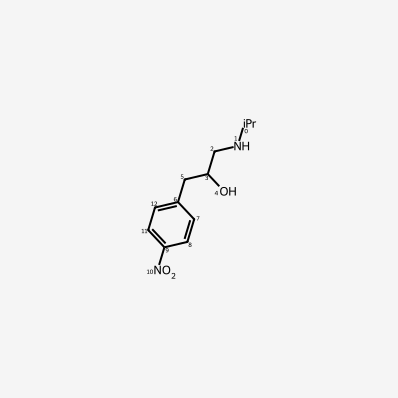 CC(C)NCC(O)Cc1ccc([N+](=O)[O-])cc1